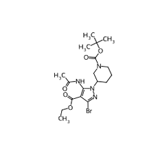 CCOC(=O)c1c(Br)nn(C2CCCN(C(=O)OC(C)(C)C)C2)c1NC(C)=O